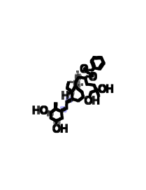 C=C1/C(=C\C=C2/CCC[C@]3(C)[C@@H]([C@H](C)C(CCC(C)(O)CO)S(=O)(=O)c4ccccc4)CC[C@@H]23)C[C@@H](O)C[C@@H]1O